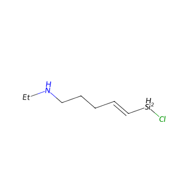 CCNCCCC=C[SiH2]Cl